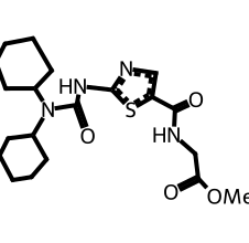 COC(=O)CNC(=O)c1cnc(NC(=O)N(C2CCCCC2)C2CCCCC2)s1